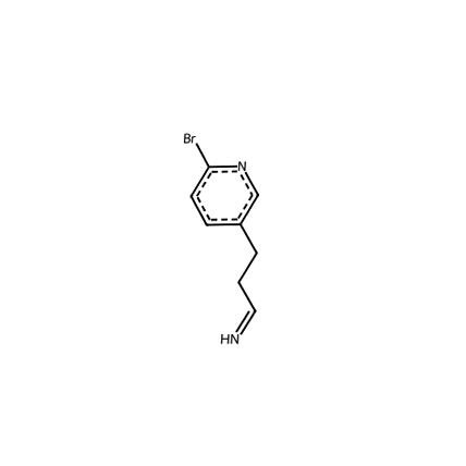 N=CCCc1ccc(Br)nc1